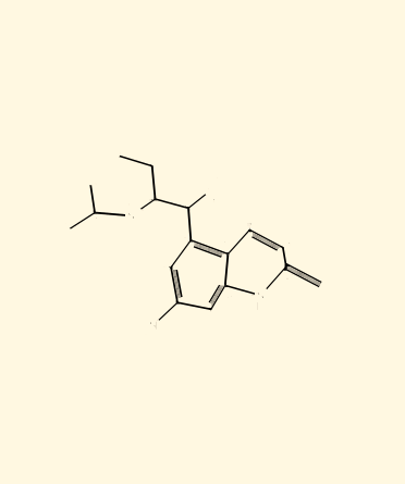 CCC(NC(C)C)C(O)c1cc(N)cc2[nH]c(=O)ccc12.O